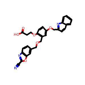 N#Cc1nc2ccc(COCc3cc(OCc4ccc5ccccc5n4)ccc3OCCC(=O)O)cc2o1